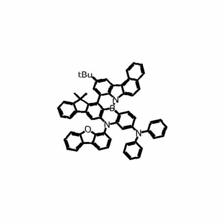 CC(C)(C)c1cc2c3c(c1)c1c4ccccc4ccc1n3B1c3ccc(N(c4ccccc4)c4ccccc4)cc3N(c3cccc4c3oc3ccccc34)c3cc4c(c-2c31)C(C)(C)c1ccccc1-4